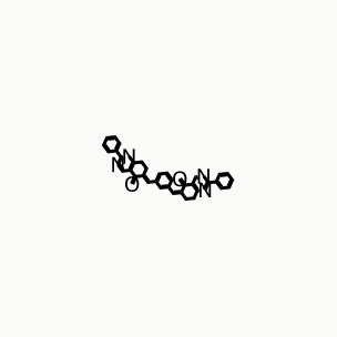 O=C1/C(=C\c2cccc(/C=C3\CCc4nc(-c5ccccc5)ncc4C3=O)c2)CCc2nc(-c3ccccc3)ncc21